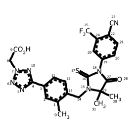 Cc1cc(-c2nnn(CC(=O)O)n2)ccc1CN1C(=S)N(c2ccc(C#N)c(C(F)(F)F)c2)C(=O)C1(C)C